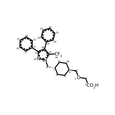 O=C(O)COC[C@H]1CC[C@H](Cn2nc(-c3ccccc3)c(-c3ccccc3)c2C(F)(F)F)CC1